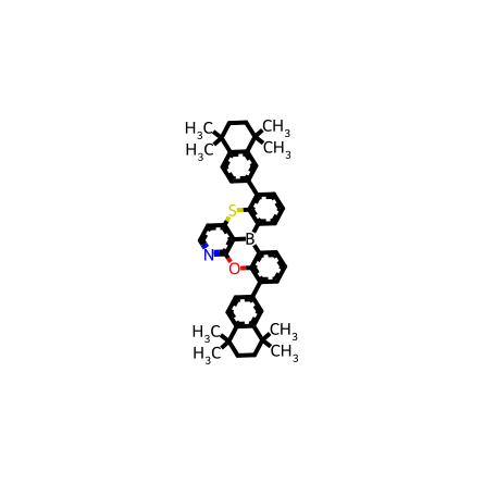 CC1(C)CCC(C)(C)c2cc(-c3cccc4c3Oc3nccc5c3B4c3cccc(-c4ccc6c(c4)C(C)(C)CCC6(C)C)c3S5)ccc21